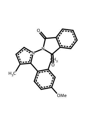 COc1ccc(-c2c(C)ccn2N2C(=O)c3ccccc3C2=O)c(C)c1